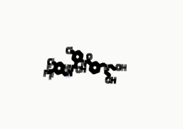 O=C(Nc1ccc(Cl)cc1C(=O)N/N=C\c1ccc(Cl)c(C(F)(F)F)c1)c1cccc(CN(CCO)CCO)c1